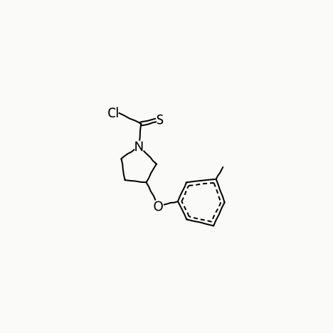 Cc1cccc(OC2CCN(C(=S)Cl)C2)c1